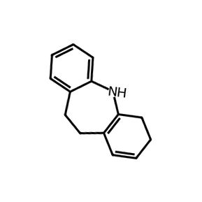 C1=CC2=C(CC1)Nc1ccccc1CC2